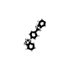 c1ccc2sc(-c3ccc(-n4nnc5ccccc54)cc3)nc2c1